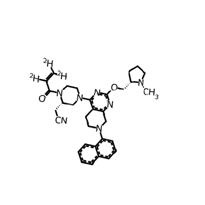 [2H]C([2H])=C([2H])C(=O)N1CCN(c2nc(OC[C@@H]3CCCN3C)nc3c2CCN(c2cccc4ccccc24)C3)C[C@@H]1CC#N